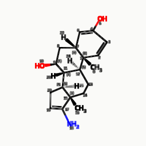 C[C@]12C=CC(O)=C[C@H]1C[C@H](O)[C@@H]1[C@@H]2CC[C@]2(C)C(N)=CC[C@@H]12